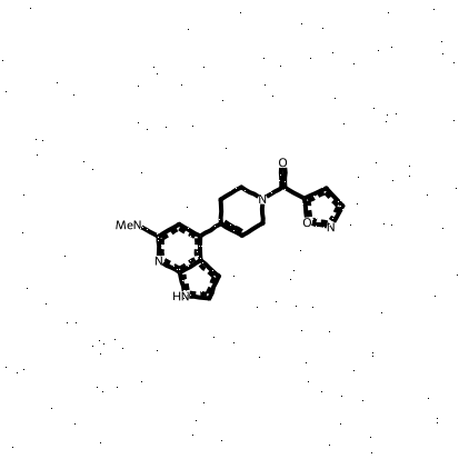 CNc1cc(C2=CCN(C(=O)c3ccno3)CC2)c2cc[nH]c2n1